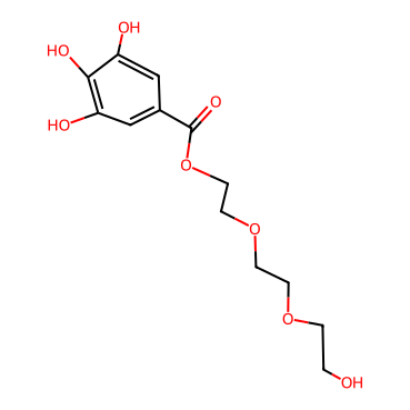 O=C(OCCOCCOCCO)c1cc(O)c(O)c(O)c1